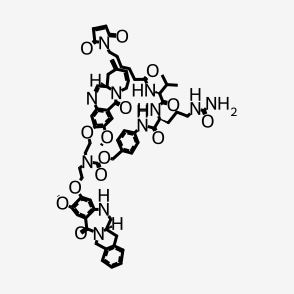 C=C1C=CCN2C(=O)c3cc(OC)c(OCCN(CCOc4cc5c(cc4OC)C(=O)N4Cc6ccccc6C[C@H]4CN5)C(=O)OCc4ccc(NC(=O)[C@H](CCCNC(N)=O)NC(=O)[C@@H](NC(=O)CCCCCN5C(=O)C=CC5=O)C(C)C)cc4)cc3N=C[C@@H]2C1